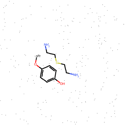 CCCOc1ccc(O)cc1.NCCSCCN